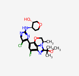 COC(C)(C)c1nc2c(F)cc(-c3nc(N[C@@H]4CCOC[C@H]4O)ncc3Cl)c3c2n1[C@H](C)CO3